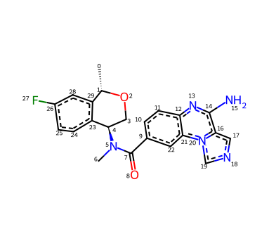 C[C@@H]1OC[C@@H](N(C)C(=O)c2ccc3nc(N)c4cncn4c3c2)c2ccc(F)cc21